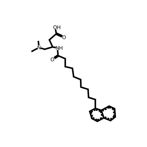 CN(C)CC(CC(=O)O)NC(=O)CCCCCCCCCc1cccc2ccccc12